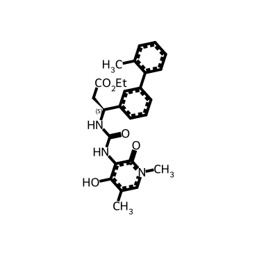 CCOC(=O)C[C@H](NC(=O)Nc1c(O)c(C)cn(C)c1=O)c1cccc(-c2ccccc2C)c1